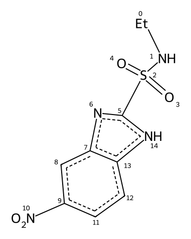 CCNS(=O)(=O)c1nc2cc([N+](=O)[O-])ccc2[nH]1